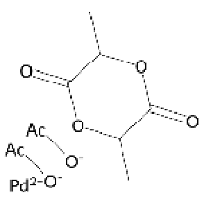 CC(=O)[O-].CC(=O)[O-].CC1OC(=O)C(C)OC1=O.[Pd+2]